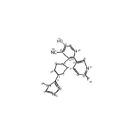 Cn1cnnc1C1CCN(c2c(-c3ccc(F)nc3)ncc(O)c2C#N)CC1